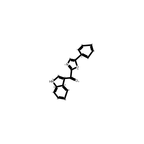 O=C(c1ncc(-c2ccccc2)o1)c1c[nH]c2ccccc12